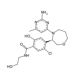 Cc1cc(N2CCCOC[C@H]2c2cc(O)c(C(=O)NCCO)cc2Cl)nc(N)n1